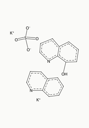 O=S(=O)([O-])[O-].Oc1cccc2cccnc12.[K+].[K+].c1ccc2ncccc2c1